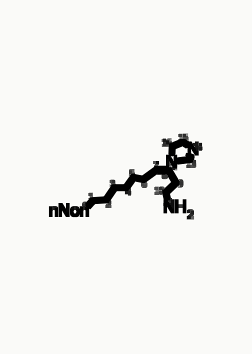 CCCCCCCCCCCCCCC/C=C(\CCN)N1C=NCC1